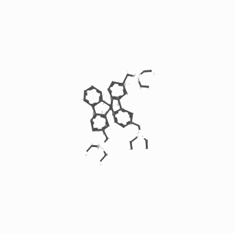 CCN(CC)Cc1ccc2c(c1)-c1cc(CN(CC)CC)ccc1C21c2ccccc2-c2ccc(CN(CC)CC)cc21